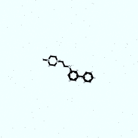 CN1CCN(CCOc2cccc(-c3c[c]ccc3)c2)CC1